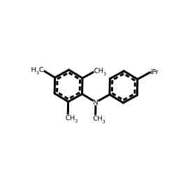 Cc1cc(C)c(N(C)c2ccc(C(C)C)cc2)c(C)c1